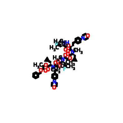 CN[C@@H](CC(C)(C)F)C(=O)O[C@H](CCc1ccc(N2CCOCC2)cc1)C(=O)N(C)[C@@H](CC1CC1)C(=O)O[C@H](C)C(=O)N(C)[C@@H](CC(C)(C)F)C(=O)O[C@H](CCc1ccc(N2CCOCC2)cc1)C(=O)N(C)[C@@H](CC1CC1)C(=O)O[C@H](C)C(=O)OCc1ccccc1